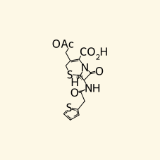 CC(=O)OCC1=C(C(=O)O)N2C(=O)C(NC(=O)Cc3cccs3)[C@H]2SC1